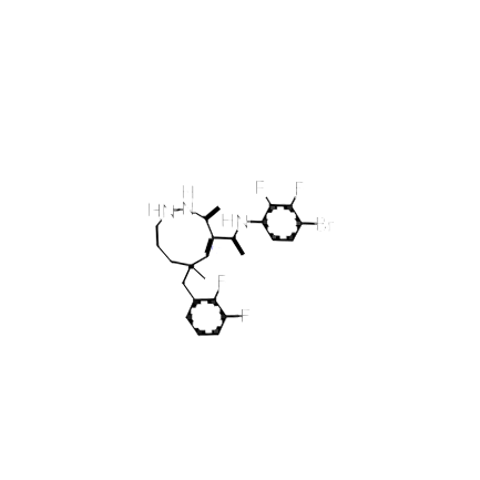 C=C1NNCCCC(C)(Cc2cccc(F)c2F)/C=C\1C(=C)Nc1ccc(Br)c(F)c1F